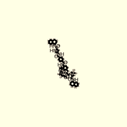 C[C@@H](C(=O)N[C@@H](Cc1ccc(NC(=O)c2ccc(C(=O)N[C@@H]3CN[C@H](C(=O)N[C@@H]4CCCc5ccccc54)C3)cc2)cc1)C(=O)N1C[Si](C)(C)C[C@H]1C(=O)N[C@@H]1CCCc2ccccc21)N(C)C(=O)OC(C)(C)C